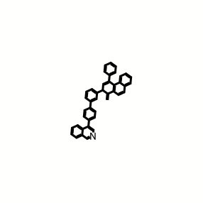 C=C1c2ccc3ccccc3c2C(c2ccccc2)=CC1c1cccc(-c2ccc(-c3cncc4ccccc34)cc2)c1